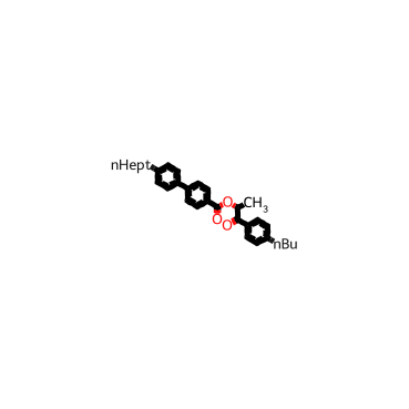 CCCCCCCc1ccc(-c2ccc(C(=O)OC(C)C(=O)c3ccc(CCCC)cc3)cc2)cc1